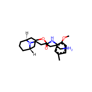 COc1ccc(C)cc1NC(=O)OC1C[C@@H]2CCC[C@@H](C1)N2CCCCCCN